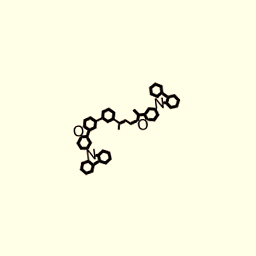 C=c1/c(=C\C=C(/C)c2cccc(-c3ccc4oc5ccc(-n6c7ccccc7c7ccccc76)cc5c4c3)c2)oc2ccc(-n3c4ccccc4c4ccccc43)cc12